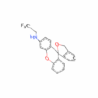 FC(F)(F)CNc1ccc2c(c1)Oc1ccccc1C21OCc2ccccc21